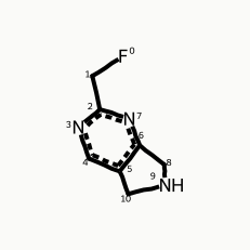 FCc1ncc2c(n1)CNC2